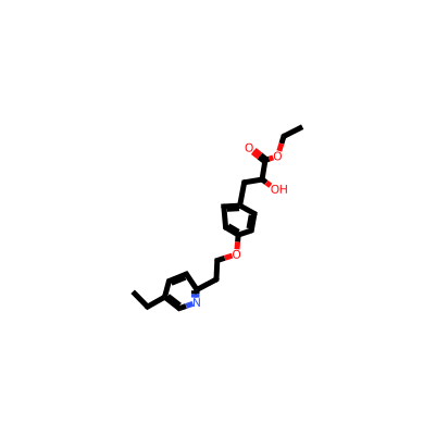 CCOC(=O)C(O)Cc1ccc(OCCc2ccc(CC)cn2)cc1